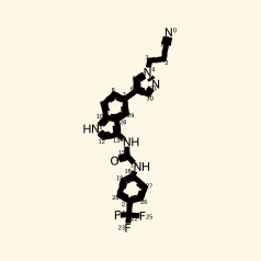 N#CCCn1cc(-c2ccc3[nH]cc(NC(=O)Nc4ccc(C(F)(F)F)cc4)c3c2)cn1